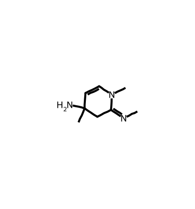 C/N=C1/CC(C)(N)C=CN1C